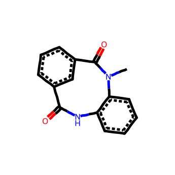 CN1C(=O)c2cccc(c2)C(=O)Nc2ccccc21